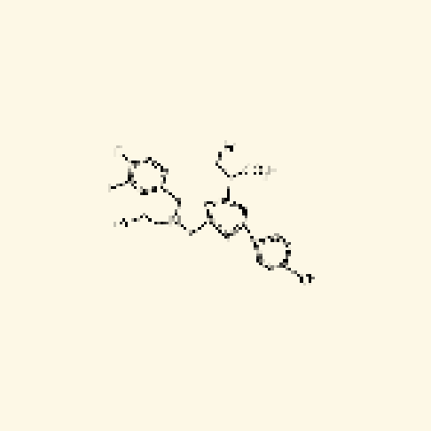 CC(C)CCN(Cc1cc(-c2ccc(C(F)(F)F)cc2)cc(C(CC(C)C)C(=O)O)c1)Cc1ccc(F)c(F)c1